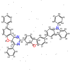 c1ccc(-c2ccc3oc4c(-c5ccccc5)nc(-c5ccc6c(c5)oc5ccc(-c7ccc8c(c7)c7ccccc7n8-c7ccccc7)cc56)nc4c3c2)cc1